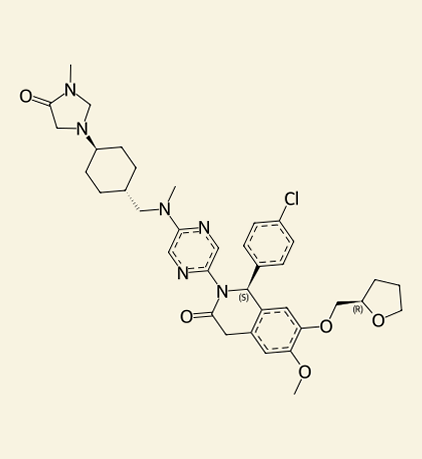 COc1cc2c(cc1OC[C@H]1CCCO1)[C@H](c1ccc(Cl)cc1)N(c1cnc(N(C)C[C@H]3CC[C@H](N4CC(=O)N(C)C4)CC3)cn1)C(=O)C2